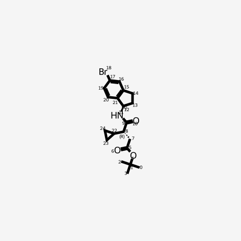 CC(C)(C)OC(=O)C[C@@H](C(=O)N[C@@H]1CCc2cc(Br)ccc21)C1CC1